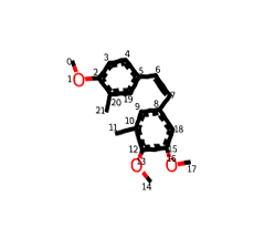 COc1ccc(/C=C\c2cc(C)c(OC)c(OC)c2)cc1C